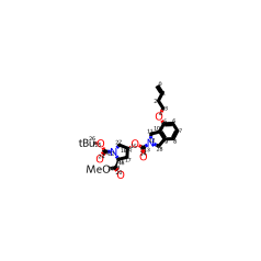 C=CCCOc1cccc2c1CN(C(=O)O[C@@H]1C[C@@H](C(=O)OC)N(C(=O)OC(C)(C)C)C1)C2